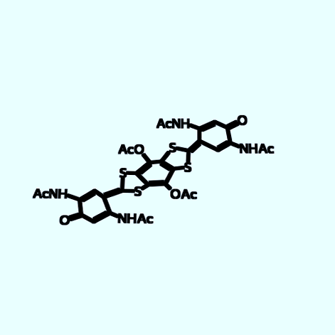 CC(=O)NC1=CC(=C2Sc3c(OC(C)=O)c4c(c(OC(C)=O)c3S2)SC(=C2C=C(NC(C)=O)C(=O)C=C2NC(C)=O)S4)C(NC(C)=O)=CC1=O